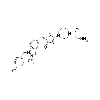 NCC(=O)N1CCCN(C2=NC(=O)C(=Cc3ccc4c(cnn4Cc4ccc(Cl)cc4C(F)(F)F)c3)S2)CC1